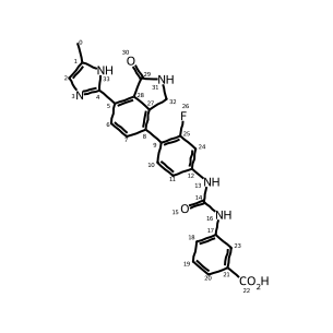 Cc1cnc(-c2ccc(-c3ccc(NC(=O)Nc4cccc(C(=O)O)c4)cc3F)c3c2C(=O)NC3)[nH]1